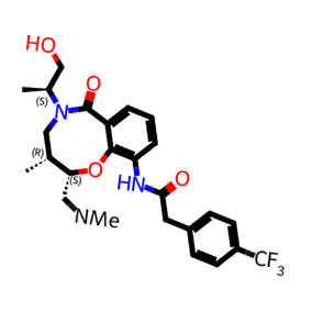 CNC[C@H]1Oc2c(NC(=O)Cc3ccc(C(F)(F)F)cc3)cccc2C(=O)N([C@@H](C)CO)C[C@H]1C